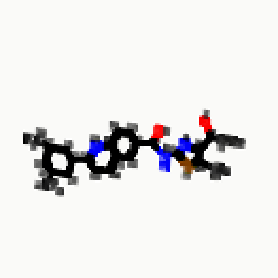 COC(=O)c1nc(NC(=O)c2ccc3nc(-c4cc(C(F)(F)F)cc(C(F)(F)F)c4)ccc3c2)sc1C(C)(C)C